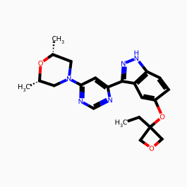 CCC1(Oc2ccc3[nH]nc(-c4cc(N5C[C@@H](C)O[C@@H](C)C5)ncn4)c3c2)COC1